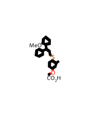 COc1ccccc1C(=CCSc1ccc(OCC(=O)O)cc1C)c1ccccc1